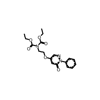 CCOC(=O)N(CCOc1cnn(-c2ccccc2)c(=O)c1)C(=O)OCC